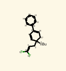 CCCCC1(CC=C(F)F)C=CC(c2ccccc2)=CC1